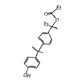 CCC(=O)OC(C)(CC)c1ccc(C(C)(C)c2ccc(O)cc2)cc1